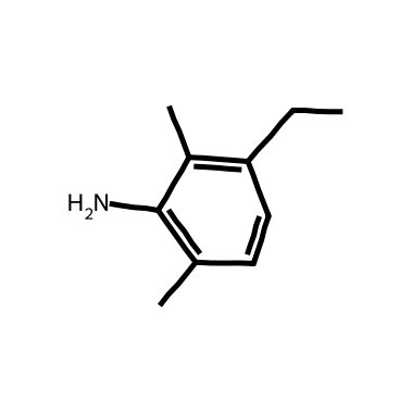 CCc1ccc(C)c(N)c1C